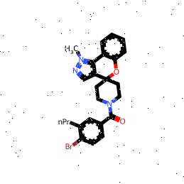 CCCc1cc(C(=O)N2CCC3(CC2)Oc2ccccc2-c2c3cnn2C)ccc1Br